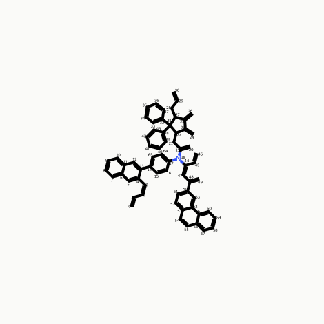 C=C/C=C\c1cc2ccccc2cc1-c1ccc(N(C(=C)CC2C(=C)C(=C)C(CC=C)C2(c2ccccc2)c2ccccc2)/C(C=C)=C/C(=C)c2ccc3ccc4ccccc4c3c2)cc1